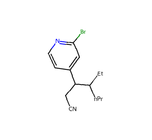 CCCC(CC)C(CC#N)c1ccnc(Br)c1